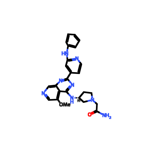 COc1cncc2nc(-c3ccnc(Nc4ccccc4)c3)nc(N[C@@H]3CCN(CC(N)=O)C3)c12